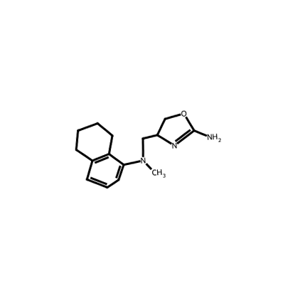 CN(CC1COC(N)=N1)c1cccc2c1CCCC2